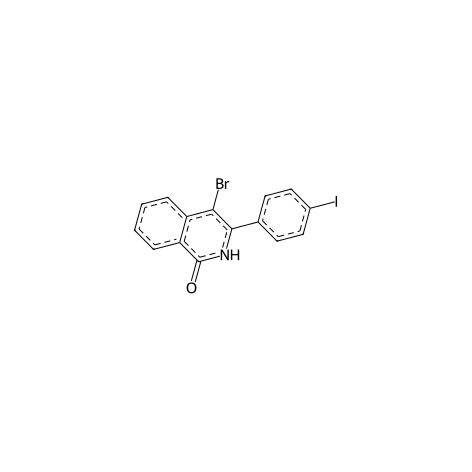 O=c1[nH]c(-c2ccc(I)cc2)c(Br)c2ccccc12